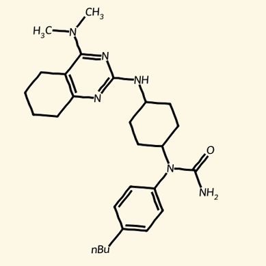 CCCCc1ccc(N(C(N)=O)C2CCC(Nc3nc4c(c(N(C)C)n3)CCCC4)CC2)cc1